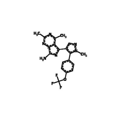 Cc1nc(C)c2c(-c3cnn(C)c3-c3ccc(OC(F)(F)F)cc3)nc(N)n2n1